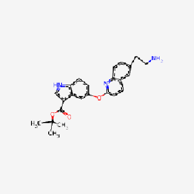 CC(C)(C)OC(=O)c1c[nH]c2ccc(Oc3ccc4cc(CCN)ccc4n3)cc12